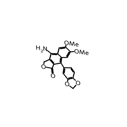 COc1cc2c(N)c3c(c(-c4ccc5c(c4)OCO5)c2cc1OC)C(=O)OC3